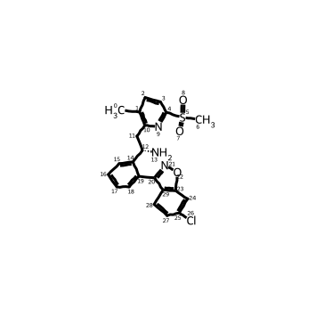 Cc1ccc(S(C)(=O)=O)nc1C[C@H](N)c1ccccc1-c1noc2cc(Cl)ccc12